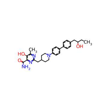 CCC(O)Cc1ccc(-c2ccc(N3CCC(Cc4nc(C)c(O)c(C(N)=O)n4)CC3)cc2)cc1